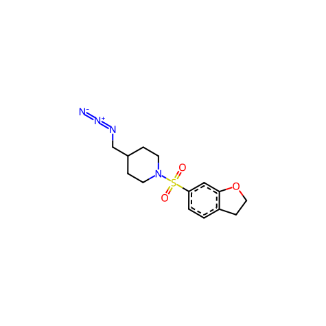 [N-]=[N+]=NCC1CCN(S(=O)(=O)c2ccc3c(c2)OCC3)CC1